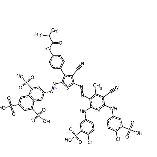 Cc1c(C#N)c(Nc2ccc(Cl)c(S(=O)(=O)O)c2)nc(Nc2ccc(Cl)c(S(=O)(=O)O)c2)c1N=Nc1sc(/N=N/c2cc(S(=O)(=O)O)c3cc(S(=O)(=O)O)cc(S(=O)(=O)O)c3c2)c(-c2ccc(NC(=O)C(C)C)cc2)c1C#N